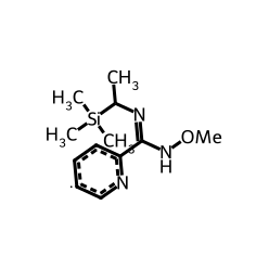 CON/C(=N/C(C)[Si](C)(C)C)c1cc[c]cn1